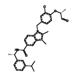 Cc1c(C)n(Cc2ccc(O[C@H](C)C=O)c(Cl)c2)c2ccc(C(=O)N[C@@H](C)c3cccc(C(C)C)c3)cc12